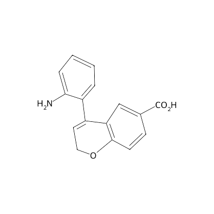 Nc1ccccc1C1=CCOc2ccc(C(=O)O)cc21